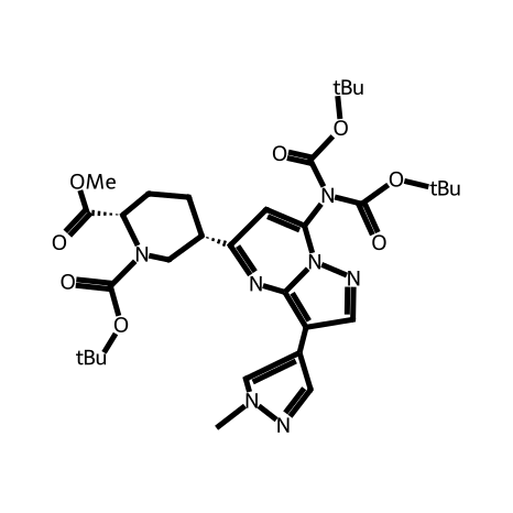 COC(=O)[C@@H]1CC[C@H](c2cc(N(C(=O)OC(C)(C)C)C(=O)OC(C)(C)C)n3ncc(-c4cnn(C)c4)c3n2)CN1C(=O)OC(C)(C)C